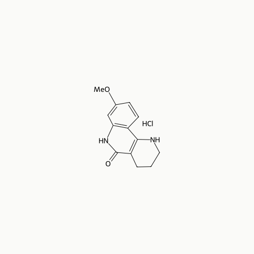 COc1ccc2c3c(c(=O)[nH]c2c1)CCCN3.Cl